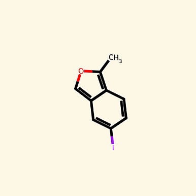 Cc1occ2cc(I)ccc12